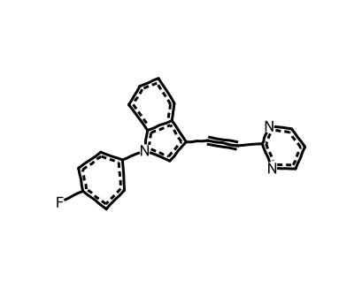 Fc1ccc(-n2cc(C#Cc3ncccn3)c3ccccc32)cc1